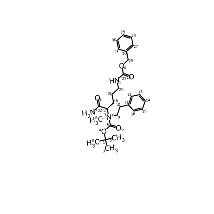 CC(C)(C)OC(=O)[N@+](C)(CCc1ccccc1)[C@H](CCCNC(=O)OCc1ccccc1)C(N)=O